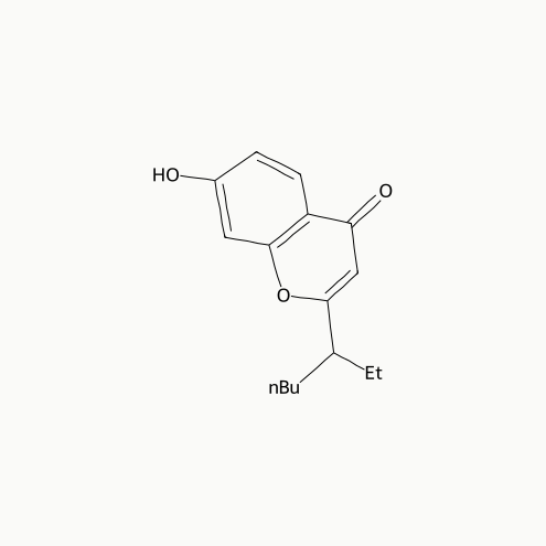 CCCCC(CC)c1cc(=O)c2ccc(O)cc2o1